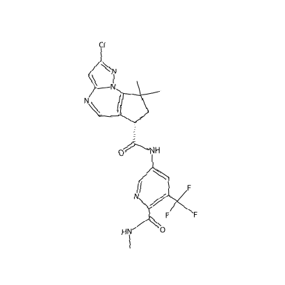 CNC(=O)c1ncc(NC(=O)[C@H]2CC(C)(C)c3c2cnc2cc(Cl)nn32)cc1C(F)(F)F